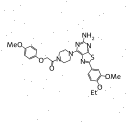 CCOc1ccc(-c2nc3c(N4CCN(C(=O)COc5ccc(OC)cc5)CC4)nc(N)nc3s2)cc1OC